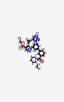 CCC[C@@H]1CCCCN1C(=O)c1cccc(-c2cccc(-n3ncc(C(=O)OCC)c3[C@@H]3C[C@H]3c3cn(C)nn3)c2)c1